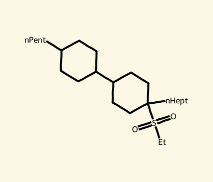 CCCCCCCC1(S(=O)(=O)CC)CCC(C2CCC(CCCCC)CC2)CC1